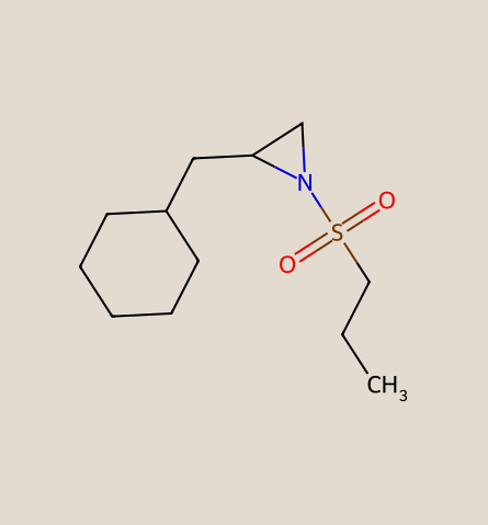 CCCS(=O)(=O)N1CC1CC1CCCCC1